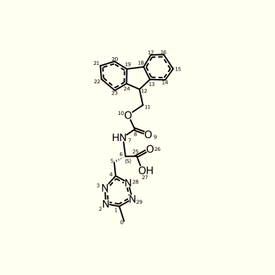 Cc1nnc(C[C@H](NC(=O)OCC2c3ccccc3-c3ccccc32)C(=O)O)nn1